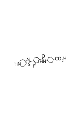 O=C(N[C@H]1CC[C@H](C(=O)O)CC1)c1ccc(-c2nc3c(s2)CCNCC3)c(F)c1